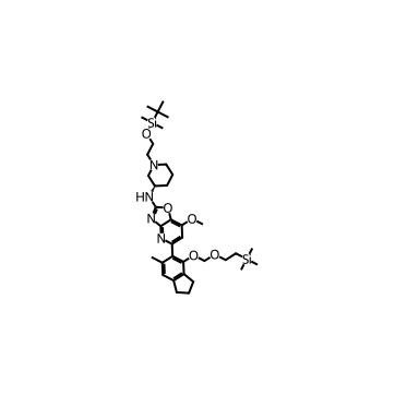 COc1cc(-c2c(C)cc3c(c2OCOCC[Si](C)(C)C)CCC3)nc2nc(N[C@@H]3CCCN(CCO[Si](C)(C)C(C)(C)C)C3)oc12